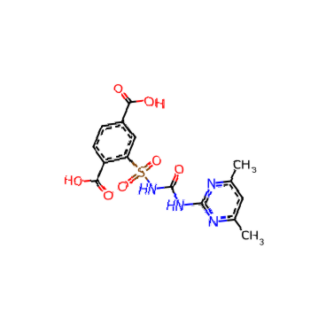 Cc1cc(C)nc(NC(=O)NS(=O)(=O)c2cc(C(=O)O)ccc2C(=O)O)n1